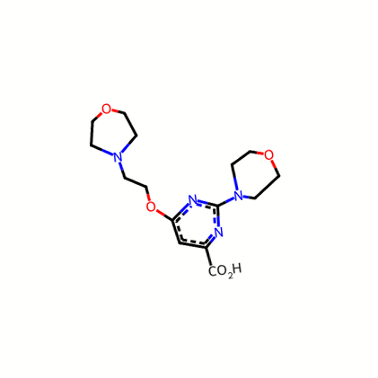 O=C(O)c1cc(OCCN2CCOCC2)nc(N2CCOCC2)n1